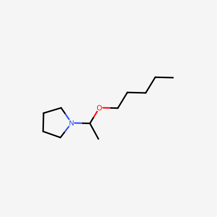 CCCCCOC(C)N1CCCC1